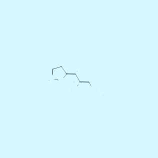 O=C(O)C[C@@H](O)CC1CCSS1